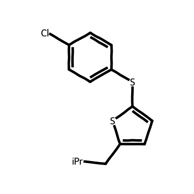 CC(C)Cc1ccc(Sc2ccc(Cl)cc2)s1